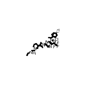 CCNCCN1CCCC(C2CN(c3cnc4c(C(F)(F)F)nn(C(C)c5ccc(Cl)cc5Cl)c4n3)C2)C1